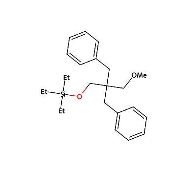 CC[Si](CC)(CC)OCC(COC)(Cc1ccccc1)Cc1ccccc1